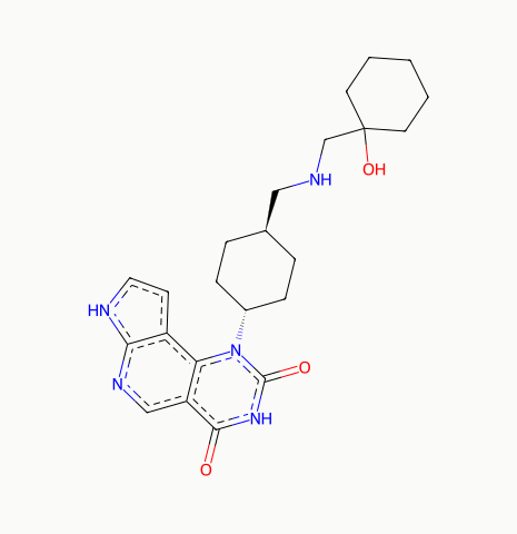 O=c1[nH]c(=O)n([C@H]2CC[C@H](CNCC3(O)CCCCC3)CC2)c2c1cnc1[nH]ccc12